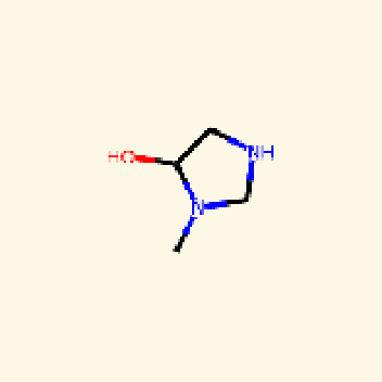 CN1CNCC1O